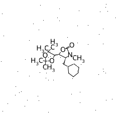 CN1C(=O)O[C@H](C2OC(C)(C)OC2(C)C)[C@@H]1CC1CCCCC1